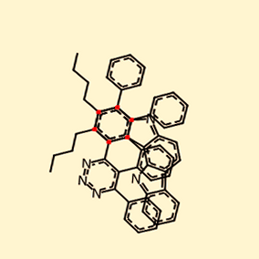 CCCCc1c(CCCC)c(-c2nnnc(-c3ccccc3)c2-c2ccccc2-c2ccccc2-c2ccccc2)c2c(c1-c1ccccc1)N=c1ccc3c(c1-2)N=c1ccccc1=3